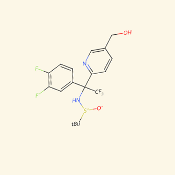 CC(C)(C)[S+]([O-])NC(c1ccc(F)c(F)c1)(c1ccc(CO)cn1)C(F)(F)F